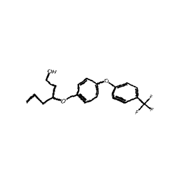 CCCC(CCO)Oc1ccc(Oc2ccc(C(F)(F)F)cc2)cc1